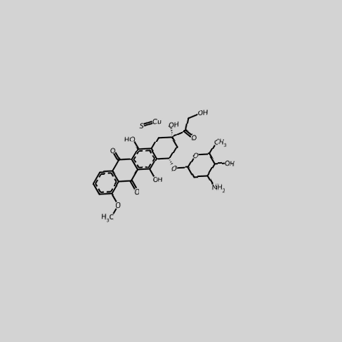 COc1cccc2c1C(=O)c1c(O)c3c(c(O)c1C2=O)C[C@@](O)(C(=O)CO)C[C@@H]3OC1CC(N)C(O)C(C)O1.[S]=[Cu]